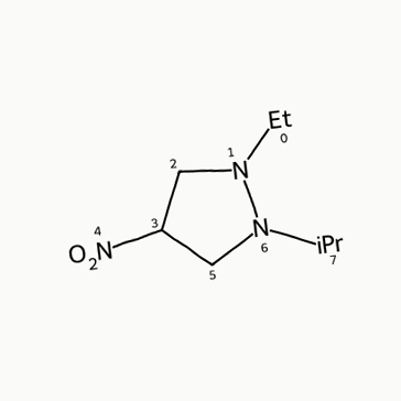 CCN1CC([N+](=O)[O-])CN1C(C)C